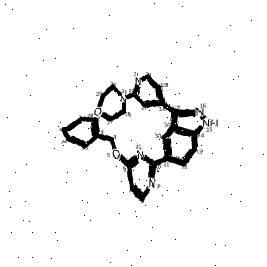 c1ccc(COc2ccnc(-c3ccc4[nH]nc(-c5ccnc(N6CCOCC6)c5)c4c3)n2)cc1